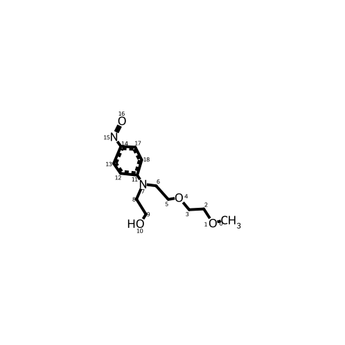 COCCOCCN(CCO)c1ccc(N=O)cc1